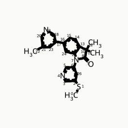 CSc1cncc(N2C(=O)C(C)(C)c3ccc(-c4cncc(C)c4)cc32)c1